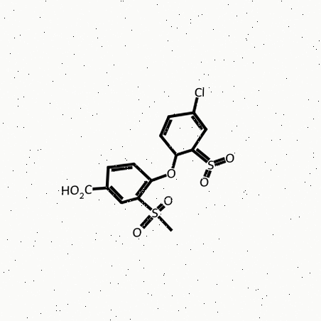 CS(=O)(=O)c1cc(C(=O)O)ccc1OC1C=CC(Cl)=CC1=S(=O)=O